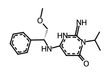 COC[C@H](Nc1cc(=O)n(C(C)C)c(=N)[nH]1)c1ccccc1